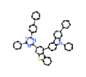 c1ccc(-c2ccc(-c3nc(-c4ccccc4)nc(-c4cc(-c5ccc6c(c5)c5ccc(-c7ccccc7)cc5n6-c5ccccc5)c5c(c4)sc4ccccc45)n3)cc2)cc1